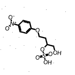 O=[N+]([O-])c1ccc(OCCC(CO)OS(=O)(=O)O)cc1